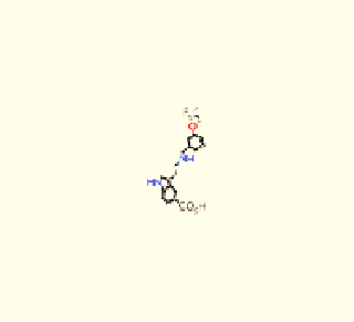 O=C(O)c1ccc2[nH]cc(CCNCc3cccc(OCC(F)(F)F)c3)c2c1